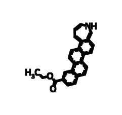 CCOC(=O)c1ccc2ccc3c4ccc5c(c4ccc3c2c1)=CC=CNC=5